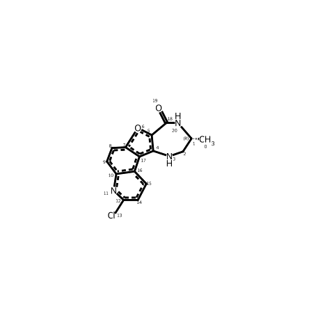 C[C@@H]1CNc2c(oc3ccc4nc(Cl)ccc4c23)C(=O)N1